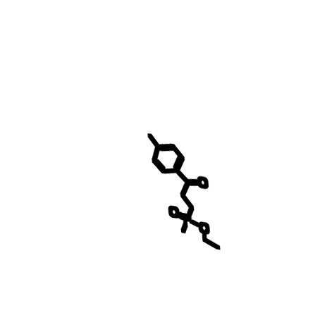 CCOP(C)(=O)CCC(=O)c1ccc(C)cc1